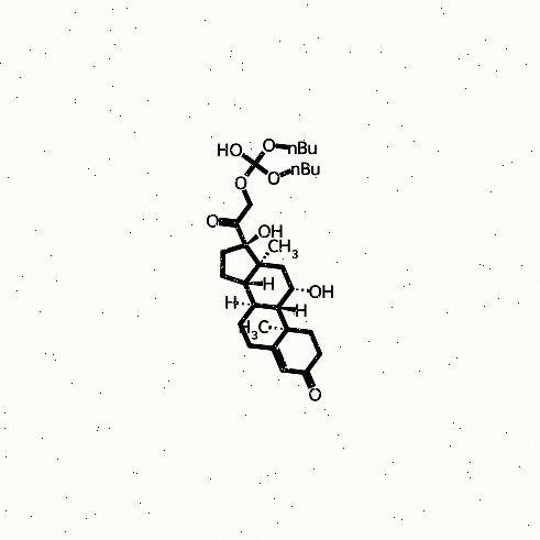 CCCCOC(O)(OCCCC)OCC(=O)[C@@]1(O)CC[C@H]2[C@@H]3CCC4=CC(=O)CC[C@]4(C)[C@H]3[C@@H](O)C[C@@]21C